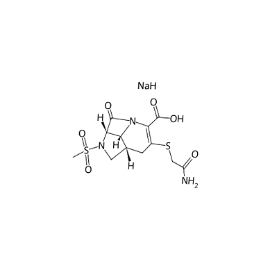 CS(=O)(=O)N1C[C@H]2CC(SCC(N)=O)=C(C(=O)O)N3C(=O)[C@@H]1[C@@H]23.[NaH]